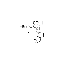 CC(C)(C)CCC(NCc1cccc2c1COCC2)C(=O)O